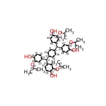 CC(C)Oc1cc(C(c2ccc(C(c3ccc(O)c(OC(C)C)c3)c3ccc(O)c(OC(C)C)c3)cc2)c2ccc(O)c(OC(C)C)c2)ccc1O